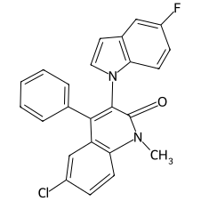 Cn1c(=O)c(-n2ccc3cc(F)ccc32)c(-c2ccccc2)c2cc(Cl)ccc21